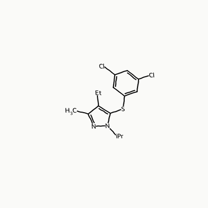 CCc1c(C)nn(C(C)C)c1Sc1cc(Cl)cc(Cl)c1